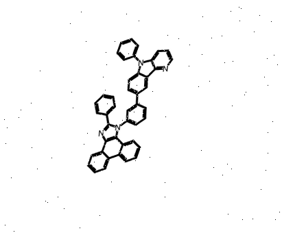 c1ccc(-c2nc3c4ccccc4c4ccccc4c3n2-c2cccc(-c3ccc4c(c3)c3ncccc3n4-c3ccccc3)c2)cc1